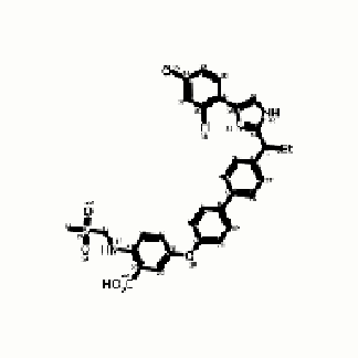 CCC(c1ccc(-c2ccc(Oc3ccc(NCS(C)(=O)=O)c(C(=O)O)c3)cc2)cc1)c1nc(-c2ccc(Cl)cc2Cl)c[nH]1